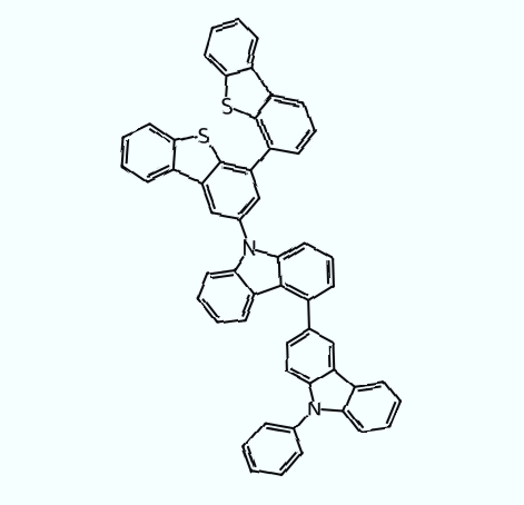 c1ccc(-n2c3ccccc3c3cc(-c4cccc5c4c4ccccc4n5-c4cc(-c5cccc6c5sc5ccccc56)c5sc6ccccc6c5c4)ccc32)cc1